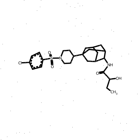 CCC(O)C(=O)NC1C2CC3CC1CC(C1CCN(S(=O)(=O)c4ccc(Cl)cc4)CC1)(C3)C2